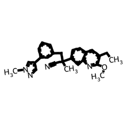 CCc1cc2ccc(C(C)(C#N)Cc3cccc(-c4cnn(C)c4)c3)cc2nc1OC